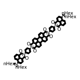 CCCCCCN(CCCCCC)c1ccc2c3c(cccc13)C(=O)N(c1ccc(N3C(=O)c4ccc5c6ccc7c8c(ccc(c9ccc(c4c59)C3=O)c86)C(=O)N(c3ccc(N4C(=O)c5cccc6c(N(CCCCCC)CCCCCC)ccc(c56)C4=O)cc3)C7=O)cc1)C2=O